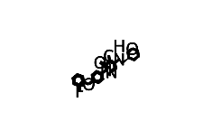 O=c1c(Cl)c(NC[C@@H]2CCCOC2)cnn1-c1ccc(Oc2ccccc2F)cc1